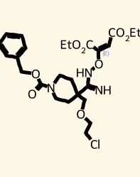 CCOC(=O)/C=C(/ONC(=N)C1(COCCCl)CCN(C(=O)OCc2ccccc2)CC1)C(=O)OCC